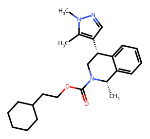 Cc1c([C@H]2CN(C(=O)OCCC3CCCCC3)[C@@H](C)c3ccccc32)cnn1C